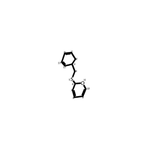 C1=CCC(CSC2C=CC=CO2)C=C1